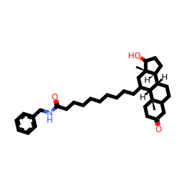 C[C@]12CCC(=O)CC1CC[C@@H]1[C@H]2C(CCCCCCCCCC(=O)NCc2ccccc2)C[C@]2(C)C(O)CC[C@@H]12